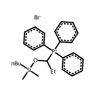 CCCC[Si](C)(C)OC(CC)[P+](c1ccccc1)(c1ccccc1)c1ccccc1.[Br-]